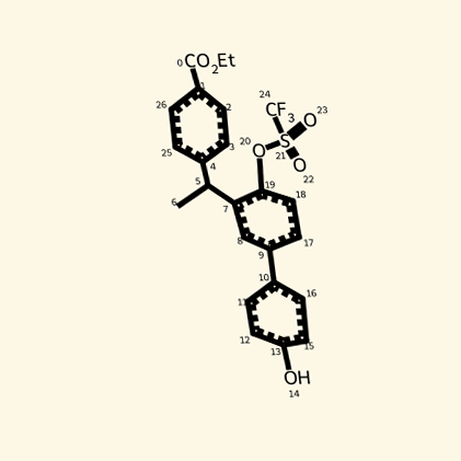 CCOC(=O)c1ccc(C(C)c2cc(-c3ccc(O)cc3)ccc2OS(=O)(=O)C(F)(F)F)cc1